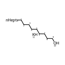 CCCCCCCCCCCCCCCCO.[KH]